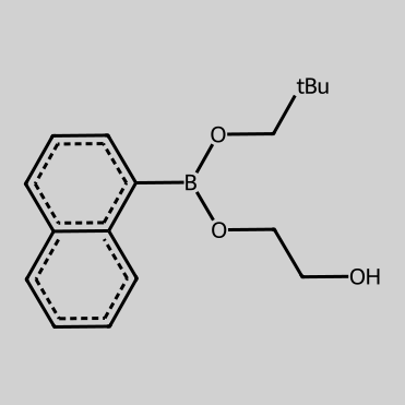 CC(C)(C)COB(OCCO)c1cccc2ccccc12